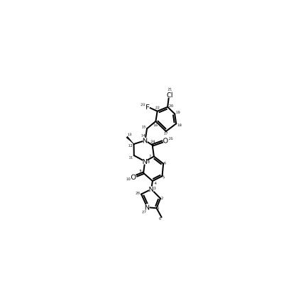 Cc1cn(-c2ccc3n(c2=O)C[C@@H](C)N(Cc2cccc(Cl)c2F)C3=O)cn1